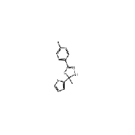 Cc1ccc(C2=NNC(C)(c3cccs3)S2)cc1